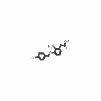 Nc1c(CC(=O)O)cccc1OCc1ccc(Br)cc1